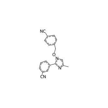 Cc1cn(OCc2ccc(C#N)cc2)c(-c2cccc(C#N)c2)n1